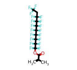 C=C(C)C(=O)OC(F)(F)C(F)(F)C(F)(F)C(F)(F)C(F)(F)C(F)(F)C(F)(F)C(F)(F)CC(F)(F)F